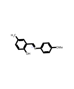 COc1ccc(/N=C/c2cc(C)ccc2O)cc1